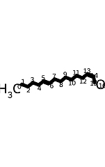 CCCCCC=CCCCCCC/C=C\C=O